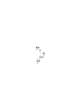 [Ba].[Cu].[F].[Gd].[O]